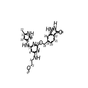 COCCNc1cc(Nc2cc(C)[nH]n2)nc(OCc2ccc3c(=O)[nH][nH]c3c2)n1